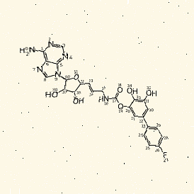 Nc1ncnc2c1ncn2C1OC(C=CCNC(=O)Oc2cc(-c3ccc(F)cc3)cc(O)c2O)C(O)C1O